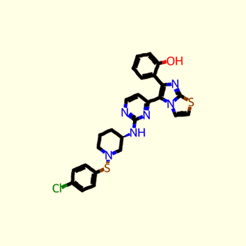 Oc1ccccc1-c1nc2sccn2c1-c1ccnc(N[C@@H]2CCCN(Sc3ccc(Cl)cc3)C2)n1